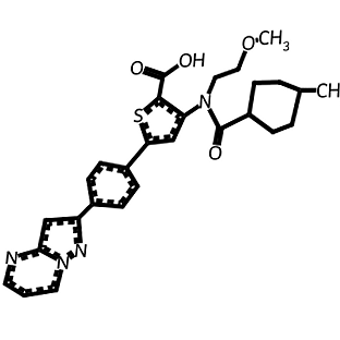 COCCN(C(=O)C1CCC(C)CC1)c1cc(-c2ccc(-c3cc4ncccn4n3)cc2)sc1C(=O)O